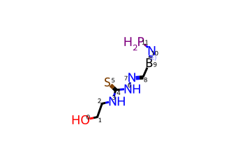 OCCNC(=S)NN=C/B=N/P